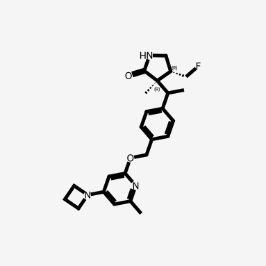 Cc1cc(N2CCC2)cc(OCc2ccc(C(C)[C@@]3(C)C(=O)NC[C@@H]3CF)cc2)n1